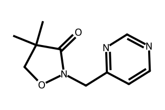 CC1(C)CON(Cc2ccncn2)C1=O